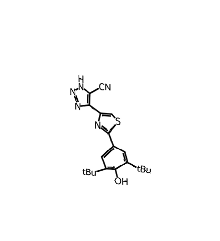 CC(C)(C)c1cc(-c2nc(-c3nn[nH]c3C#N)cs2)cc(C(C)(C)C)c1O